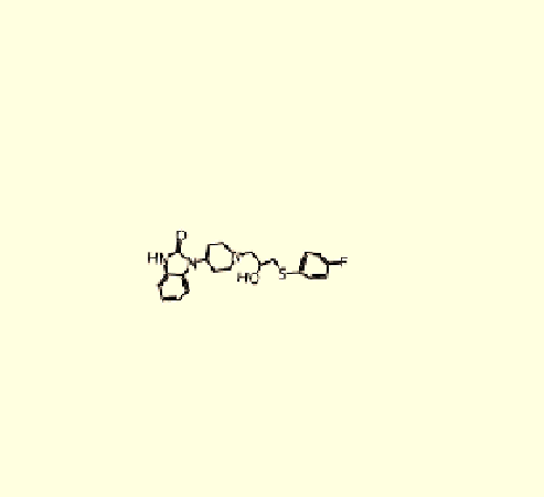 O=c1[nH]c2ccccc2n1C1CCN(CC(O)CSc2ccc(F)cc2)CC1